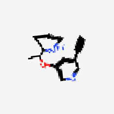 C#Cc1cncc(OC(C)C2CCCN2)c1